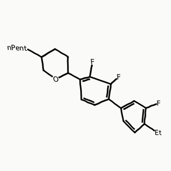 CCCCCC1CCC(c2ccc(-c3ccc(CC)c(F)c3)c(F)c2F)OC1